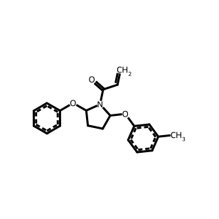 C=CC(=O)N1C(Oc2ccccc2)CCC1Oc1cccc(C)c1